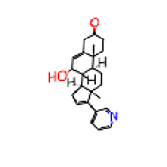 C[C@]12CCC(=O)CC1=CC(O)[C@@H]1[C@@H]2CC[C@]2(C)C(c3cccnc3)=CC[C@@H]12